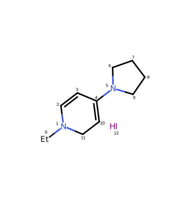 CCN1C=CC(N2CCCC2)=CC1.I